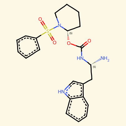 N[C@H](Cc1c[nH]c2ccccc12)NC(=O)O[C@H]1CCCCN1S(=O)(=O)c1ccccc1